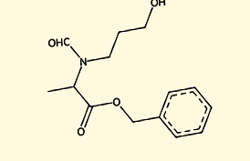 CC(C(=O)OCc1ccccc1)N(C=O)CCCO